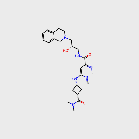 C=N/C(=C\C(=N/C)C(=O)NC[C@H](O)CN1CCc2ccccc2C1)N[C@H]1C[C@@H](C(=O)N(C)C)C1